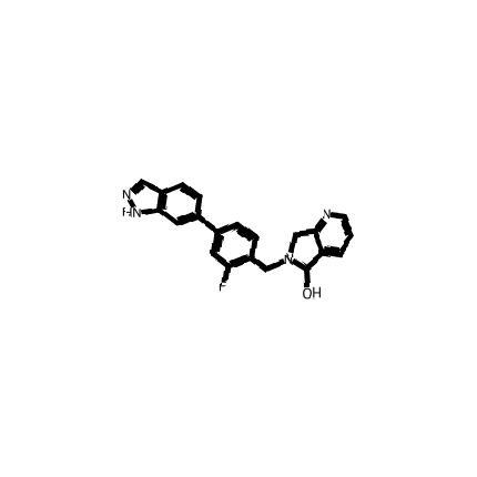 OC1c2cccnc2CN1Cc1ccc(-c2ccc3cn[nH]c3c2)cc1F